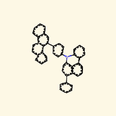 c1ccc(-c2ccc(N(c3ccc(-c4cc5ccccc5c5ccc6ccccc6c45)cc3)c3ccccc3-c3ccccc3)cc2)cc1